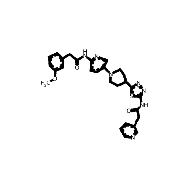 O=C(Cc1cccc(OC(F)(F)F)c1)Nc1ccc(N2CCC(c3nnc(NC(=O)Cc4cccnc4)s3)CC2)cn1